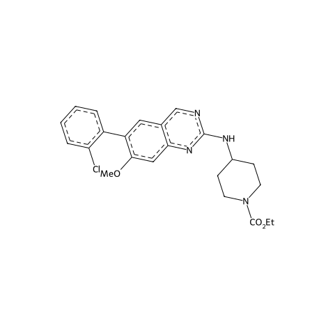 CCOC(=O)N1CCC(Nc2ncc3cc(-c4ccccc4Cl)c(OC)cc3n2)CC1